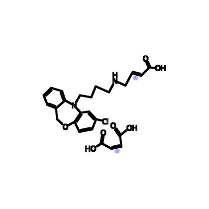 O=C(O)/C=C/CNCCCCN1c2ccccc2COc2ccc(Cl)cc21.O=C(O)/C=C\C(=O)O